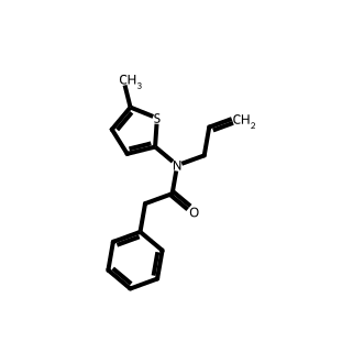 C=CCN(C(=O)Cc1ccccc1)c1ccc(C)s1